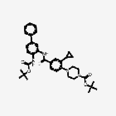 CC(C)(C)OC(=O)Nc1ccc(-c2ccccc2)cc1NC(=O)c1ccc(N2CCN(C(=O)OC(C)(C)C)CC2)c(C2CC2)c1